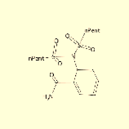 CCCCCS(=O)(=O)N(c1ccccc1C(N)=O)S(=O)(=O)CCCCC